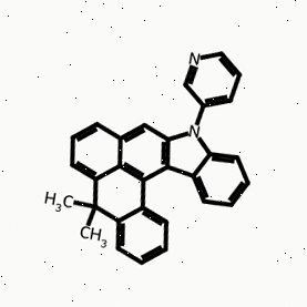 CC1(C)c2ccccc2-c2c3c1cccc3cc1c2c2ccccc2n1-c1cccnc1